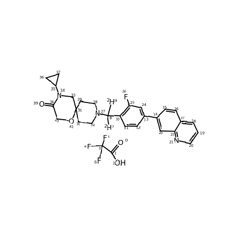 O=C(O)C(F)(F)F.[2H]C([2H])(c1ccc(-c2ccc3cccnc3c2)cc1F)N1CCC2(CC1)CN(C1CC1)C(=O)CO2